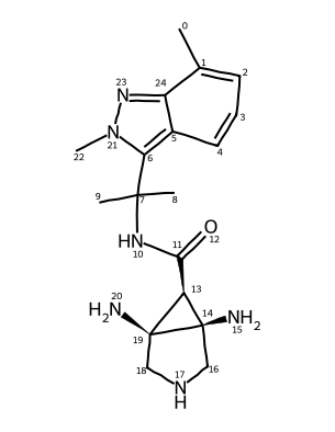 Cc1cccc2c(C(C)(C)NC(=O)[C@H]3[C@]4(N)CNC[C@]34N)n(C)nc12